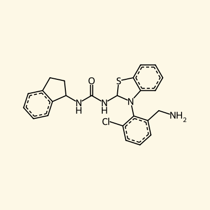 NCc1cccc(Cl)c1N1c2ccccc2SC1NC(=O)NC1CCc2ccccc21